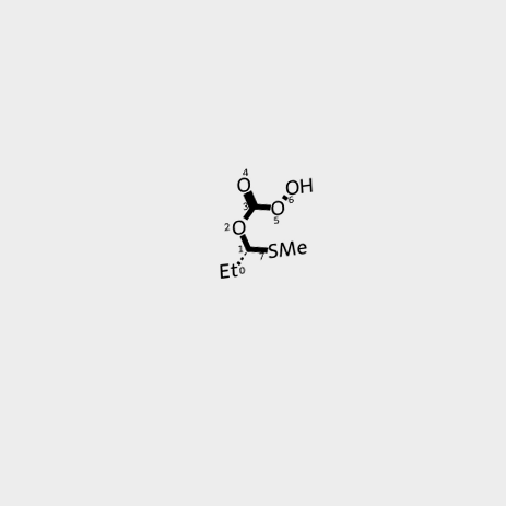 CC[C@H](OC(=O)OO)SC